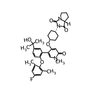 Cc1cc(F)cc(C)c1Oc1ccc(C(C)(C)O)cc1-c1cn(C)c(=O)cc1O[C@H]1CC[C@H](N2C(=O)[C@H]3CCCN3C2=O)CC1